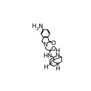 Nc1ccc2c(c1)CN(CC(=O)NC13C[C@@H]4CC(C[C@@H](C4)C1)N3)C2=O